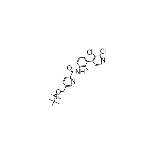 Cc1c(NC(=O)c2ccc(CO[Si](C)(C)C(C)(C)C)cn2)cccc1-c1ccnc(Cl)c1Cl